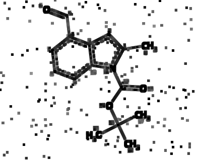 Cc1cc2c(C=O)cccc2n1C(=O)OC(C)(C)C